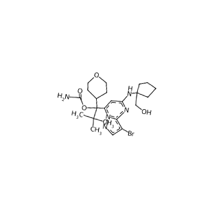 CC(C)(C)C(OC(N)=O)(c1cc(NC2(CO)CCCC2)nc2c(Br)cnn12)C1CCOCC1